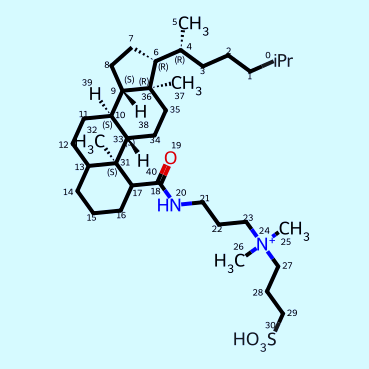 CC(C)CCC[C@@H](C)[C@H]1CC[C@H]2[C@@H]3CCC4CCCC(C(=O)NCCC[N+](C)(C)CCCS(=O)(=O)O)[C@]4(C)[C@H]3CC[C@]12C